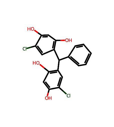 Oc1cc(O)c(C(c2ccccc2)c2cc(Cl)c(O)cc2O)cc1Cl